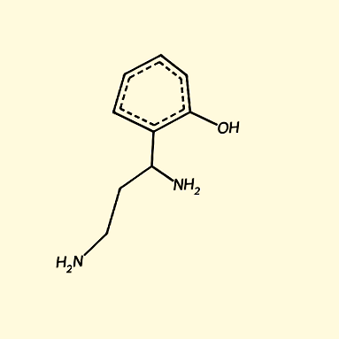 NCCC(N)c1ccccc1O